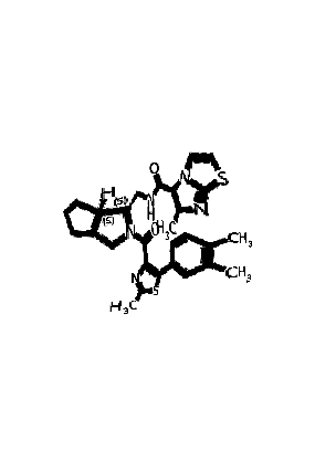 Cc1nc(C(=O)N2CC3CCC[C@@H]3[C@H]2CNC(=O)c2c(C)nc3sccn23)c(-c2ccc(C)c(C)c2)s1